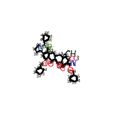 CC[C@]12Cc3onc(OCc4ccccc4)c3C(=O)[C@]13OC3=C1C(=O)c3c(OCc4ccccc4)cc(C4CCCN4Cc4ccccc4)c(C(F)(F)F)c3CC1C2